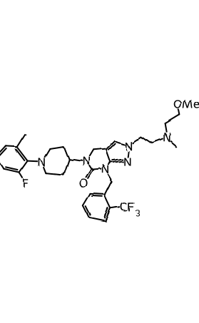 COCCN(C)CCn1cc2c(n1)N(Cc1ccccc1C(F)(F)F)C(=O)N(C1CCN(c3c(C)cccc3F)CC1)C2